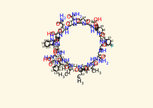 CCCC[C@H]1C(=O)N(C)[C@@H](CCCC)C(=O)N[C@@H](CC(C)C)C(=O)N[C@H](C(N)=O)CNCC(=O)N[C@@H](Cc2ccc(F)cc2)C(=O)N2CCCC[C@H]2C(=O)N[C@@H](CC(=O)O)C(=O)N2CCCC2C(=O)N[C@@H](CCC(N)=O)C(=O)N[C@@H](CCC(N)=O)C(=O)N2C[C@H](O)C[C@H]2C(=O)N[C@@H](Cc2c[nH]c3ccccc23)C(=O)N[C@@H](CC(N)=O)C(=O)N[C@@H](Cc2cn(CC(=O)O)c3ccccc23)C(=O)N1C